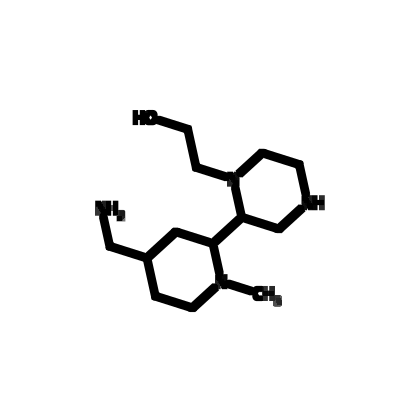 CN1CCC(CN)CC1C1CNCCN1CCO